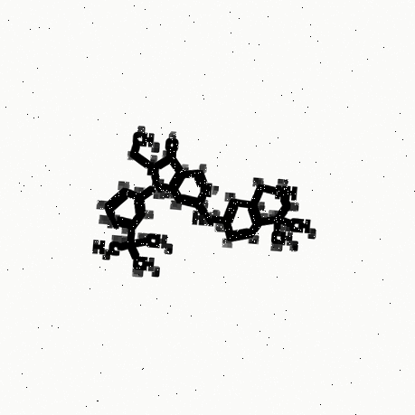 CCn1c(=O)c2cnc(Nc3ccc4c(c3)CNCC4(C)C)cc2n1-c1ccnc(C(C)(C)C)c1